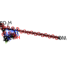 CCN[C@@H](CNC(=O)CCOCCOCCOCCOCCOCCOCCOCCOCCOCCOCCOCCOC)C(=O)NCCC(=O)NCc1cc(COC(=O)N[C@H]2CCc3c(C)c(F)cc4nc5c(c2c34)Cn2c-5cc3c(c2=O)COC(=O)[C@]3(O)CC)ccc1O[C@@H]1O[C@H](C(=O)O)[C@@H](O)[C@H](O)[C@H]1O